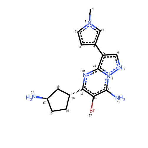 Cn1ccc(-c2cnn3c(N)c(Br)c([C@@H]4CC[C@@H](N)C4)nc23)c1